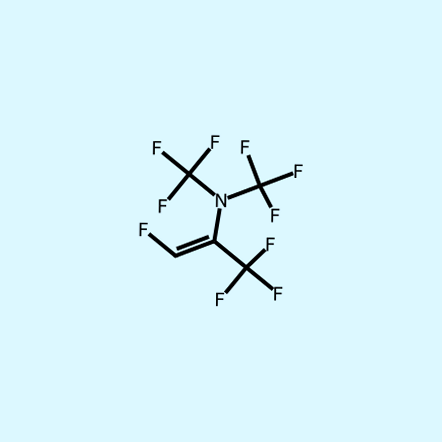 F/C=C(\N(C(F)(F)F)C(F)(F)F)C(F)(F)F